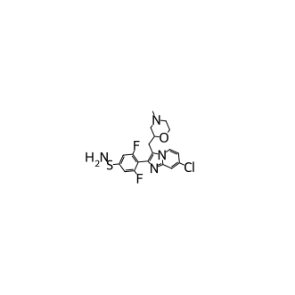 CN1CCOC(Cc2c(-c3c(F)cc(SN)cc3F)nc3cc(Cl)ccn23)C1